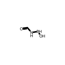 O=CNBO